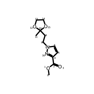 COC(=O)c1ccn(CCC2(C)OCCO2)n1